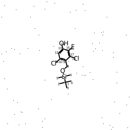 CC(C)(C)[Si](C)(C)OCc1c(Cl)cc(O)c(F)c1Cl